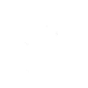 COc1ccnc(C[S+]([O-])c2nc3ccsc3[nH]2)c1